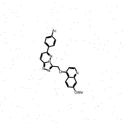 COc1ccc2c(OCc3nnc4ccc(-c5ccc(C(C)=O)cc5)nn34)ccnc2c1